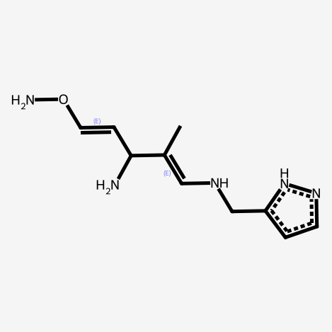 C/C(=C\NCc1ccn[nH]1)C(N)/C=C/ON